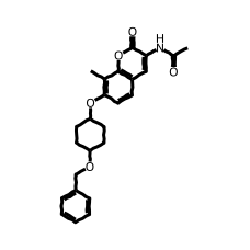 CC(=O)Nc1cc2ccc(OC3CCC(OCc4ccccc4)CC3)c(C)c2oc1=O